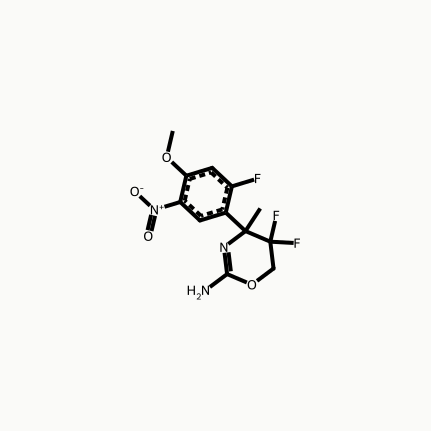 COc1cc(F)c(C2(C)N=C(N)OCC2(F)F)cc1[N+](=O)[O-]